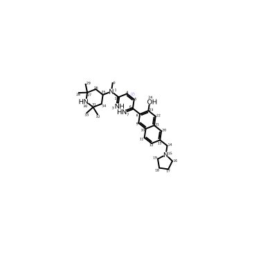 CN(C(=N)/C=C\C(=N)c1cc2ccc(CN3CCCC3)cc2cc1O)C1CC(C)(C)NC(C)(C)C1